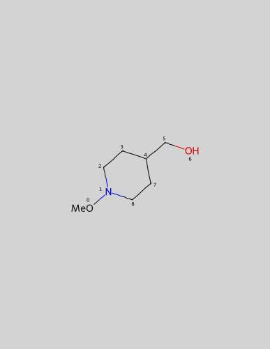 CON1CCC(CO)CC1